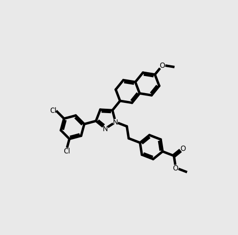 COC(=O)c1ccc(CCn2nc(-c3cc(Cl)cc(Cl)c3)cc2C2C=c3ccc(OC)cc3=CC2)cc1